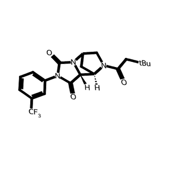 CC(C)(C)CC(=O)N1CC2C[C@@H]1[C@@H]1C(=O)N(c3cccc(C(F)(F)F)c3)C(=O)N21